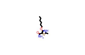 CCCCCCOC1=C(C(N)=O)SC(C)N1